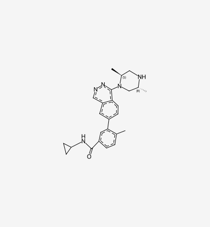 Cc1ccc(C(=O)NC2CC2)cc1-c1ccc2c(N3C[C@@H](C)NC[C@@H]3C)nncc2c1